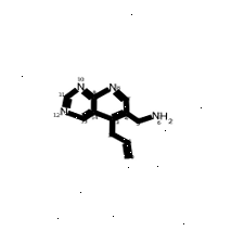 C=CCc1c(CN)cnc2ncncc12